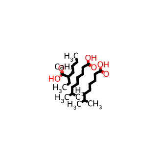 CC(C)CCCCCC(=O)O.CC(C)CCCCCC(=O)O.CCCCC(CC)C(=O)O.[CaH2]